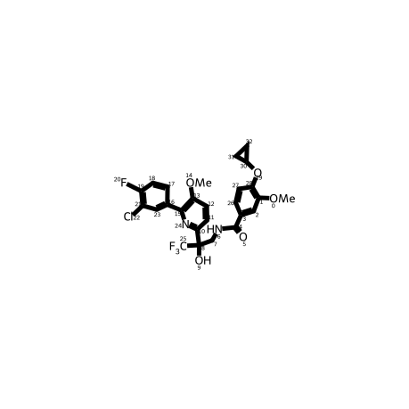 COc1cc(C(=O)NCC(O)(c2ccc(OC)c(-c3ccc(F)c(Cl)c3)n2)C(F)(F)F)ccc1OC1CC1